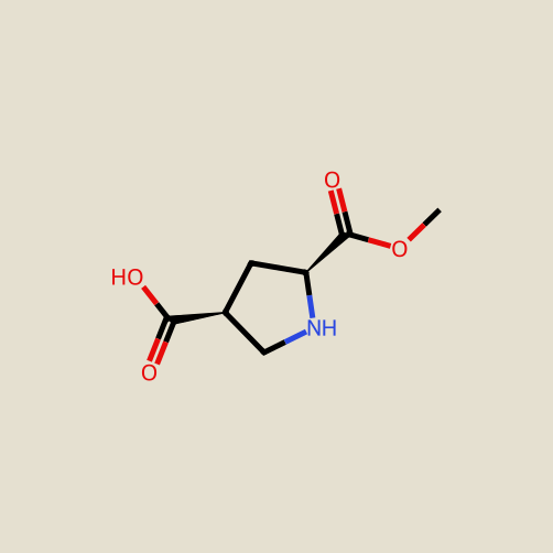 COC(=O)[C@@H]1C[C@H](C(=O)O)CN1